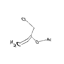 C=C(CCl)OC(C)=O